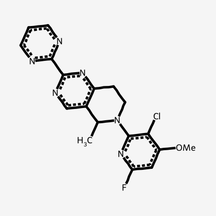 COc1cc(F)nc(N2CCc3nc(-c4ncccn4)ncc3C2C)c1Cl